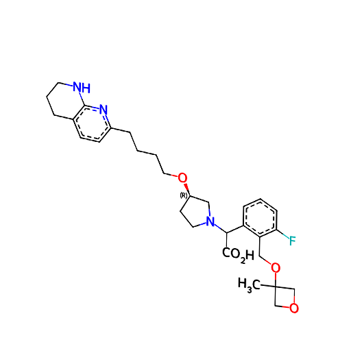 CC1(OCc2c(F)cccc2C(C(=O)O)N2CC[C@@H](OCCCCc3ccc4c(n3)NCCC4)C2)COC1